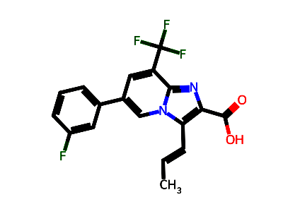 CC=Cc1c(C(=O)O)nc2c(C(F)(F)F)cc(-c3cccc(F)c3)cn12